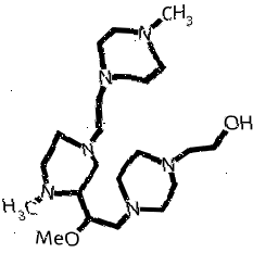 COC(CN1CCN(CCO)CC1)C1CN(CCN2CCN(C)CC2)CCN1C